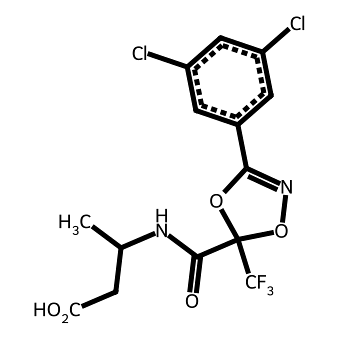 CC(CC(=O)O)NC(=O)C1(C(F)(F)F)ON=C(c2cc(Cl)cc(Cl)c2)O1